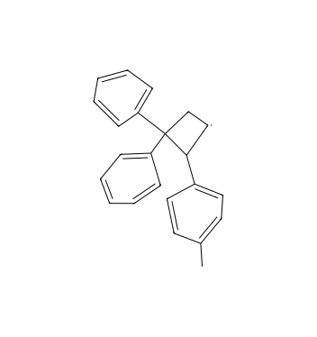 Cc1ccc(C2[CH]CC2(c2ccccc2)c2ccccc2)cc1